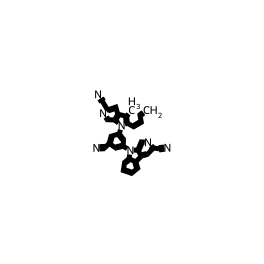 C=C/C=C\c1c(C)c2cc(C#N)ncc2n1-c1cc(C#N)cc(-n2c3ccccc3c3cc(C#N)ncc32)c1